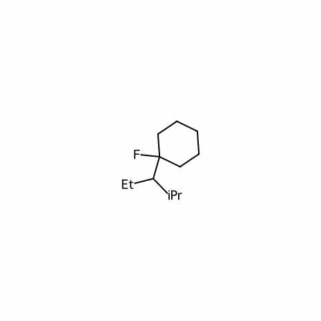 CCC(C(C)C)C1(F)CCCCC1